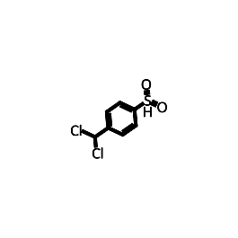 O=[SH](=O)c1ccc(C(Cl)Cl)cc1